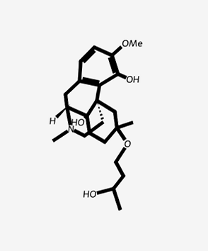 COc1ccc2c(c1O)[C@]13CCN(C)[C@H](C2)C1(O)CCC(C)(OCCC(C)O)C3